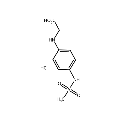 CS(=O)(=O)Nc1ccc(NCC(=O)O)cc1.Cl